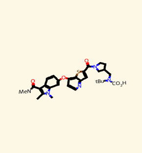 CNC(=O)c1c(C)n(C)c2cc(Oc3ccnc4cc(C(=O)N5CCC(CN(C(=O)O)C(C)(C)C)C5)sc34)ccc12